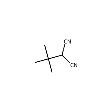 CC(C)(C)C(C#N)C#N